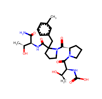 Cc1cccc(CC2(C(=O)N[C@H](C(N)=O)[C@@H](C)O)CCCN2C(=O)[C@@H]2CCCN2C(=O)[C@@H](NC(=O)O)[C@@H](C)O)c1